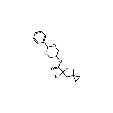 CCC(C)(CC1(C)CC1)C(=O)OC1COC(c2ccccc2)OC1